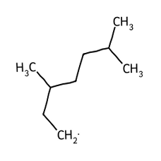 [CH2]CC(C)CCC(C)C